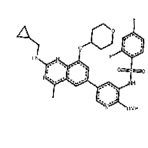 COc1ncc(-c2cc(OC3CCOCC3)c3nc(NCC4CC4)nc(C)c3c2)cc1NS(=O)(=O)c1ccc(F)cc1F